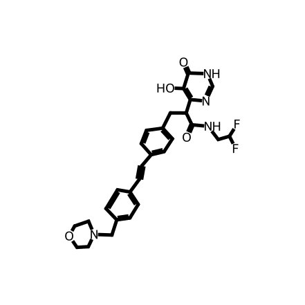 O=C(NCC(F)F)C(Cc1ccc(C#Cc2ccc(CN3CCOCC3)cc2)cc1)c1nc[nH]c(=O)c1O